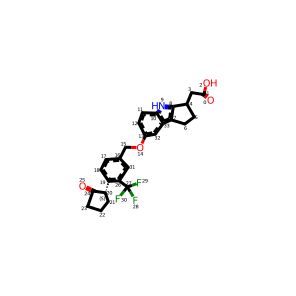 O=C(O)CC1CCc2c1[nH]c1ccc(OCc3ccc([C@@H]4CCCC4=O)c(C(F)(F)F)c3)cc21